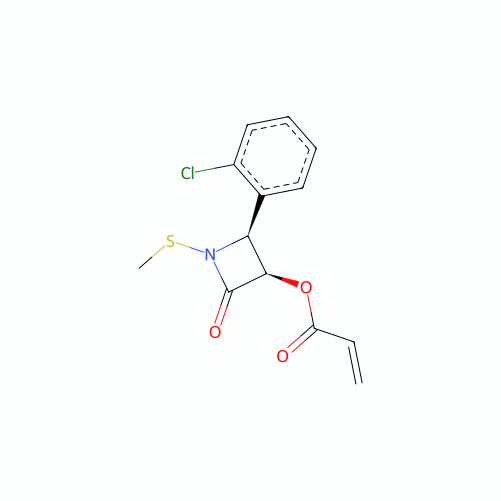 C=CC(=O)O[C@H]1C(=O)N(SC)[C@H]1c1ccccc1Cl